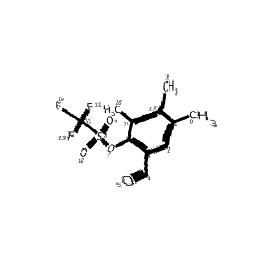 Cc1cc(C=O)c(OS(=O)(=O)C(F)(F)F)c(C)c1C